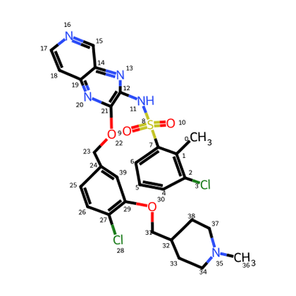 Cc1c(Cl)cccc1S(=O)(=O)Nc1nc2cnccc2nc1OCc1ccc(Cl)c(OCC2CCN(C)CC2)c1